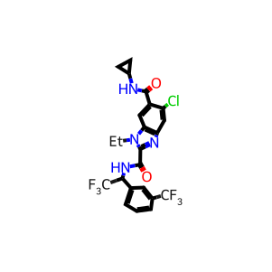 CCn1c(C(=O)NC(c2cccc(C(F)(F)F)c2)C(F)(F)F)nc2cc(Cl)c(C(=O)NC3CC3)cc21